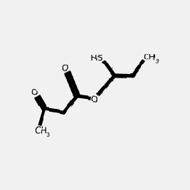 CCC(S)OC(=O)CC(C)=O